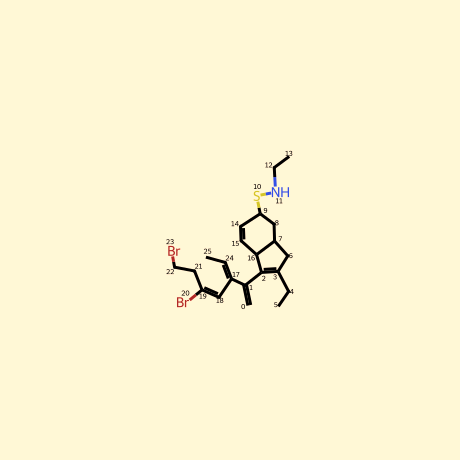 C=C(C1=C(CC)CC2CC(SNCC)C=CC12)C(/C=C(/Br)CCBr)=C/C